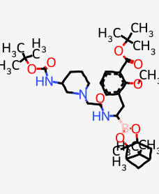 COc1c(CC(NC(=O)CN2CCCC(NC(=O)OC(C)(C)C)C2)B2OC3CC4CC(C4(C)C)C3(C)O2)cccc1C(=O)OC(C)(C)C